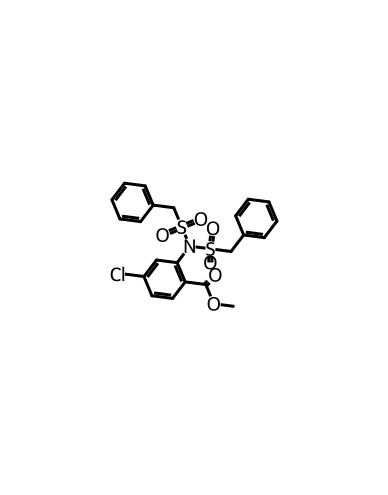 COC(=O)c1ccc(Cl)cc1N(S(=O)(=O)Cc1ccccc1)S(=O)(=O)Cc1ccccc1